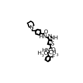 CC(C)(NC(=O)c1cc2c(NC(=O)c3ccc(CN4CCCCC4)cc3)n[nH]c2s1)c1ccccc1F